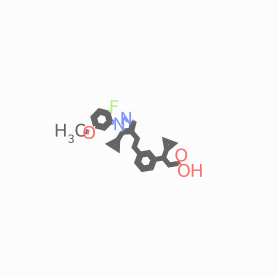 COc1ccc(F)c(-n2ncc(CCc3cccc(C(CC(=O)O)C4CC4)c3)c2C2CC2)c1